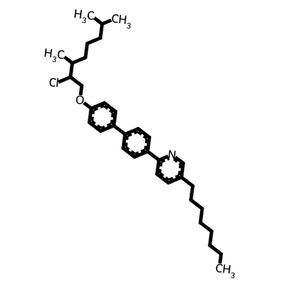 CCCCCCCCc1ccc(-c2ccc(-c3ccc(OCC(Cl)C(C)CCCC(C)C)cc3)cc2)nc1